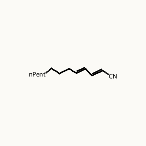 CCCCCCCCC=CC=CC#N